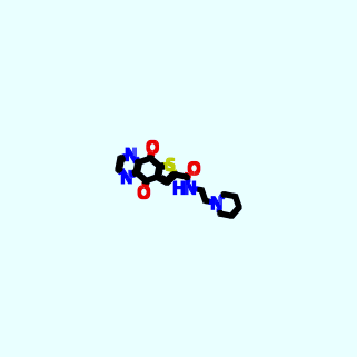 O=C(NCCN1CCCCC1)c1cc2c(s1)C(=O)c1nccnc1C2=O